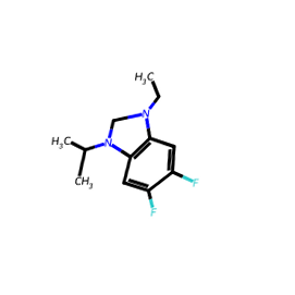 CCN1CN(C(C)C)c2cc(F)c(F)cc21